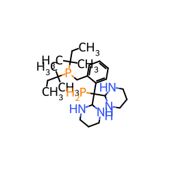 CCC(C)(C)P(Cc1ccccc1C(P)(C1NCCCN1)C1NCCCN1)C(C)(C)CC